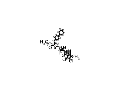 CCOC(=O)c1sc(N2C[C@@H]3C(NC(=O)c4[nH]c(C)c(Cl)c4Cl)[C@@H]3C2)nc1Cc1ccc(-c2ccccc2)cc1